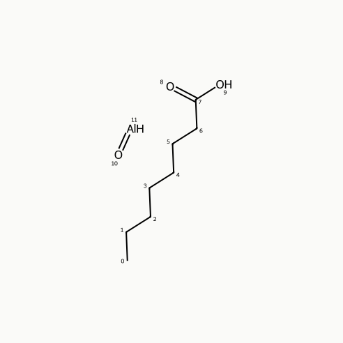 CCCCCCCC(=O)O.[O]=[AlH]